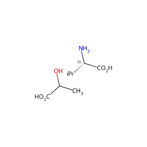 CC(C)[C@H](N)C(=O)O.CC(O)C(=O)O